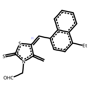 C=c1/c(=C\c2ccc(CC)c3ccccc23)sc(=S)n1CC=O